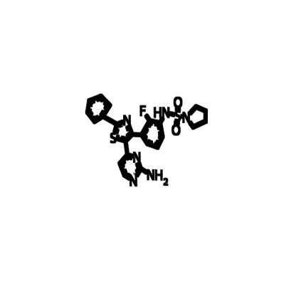 Nc1nccc(-c2sc(-c3ccccc3)nc2-c2cccc(NS(=O)(=O)N3CCCC3)c2F)n1